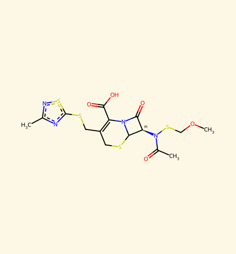 COCSN(C(C)=O)[C@@H]1C(=O)N2C(C(=O)O)=C(CSc3nc(C)ns3)CSC12